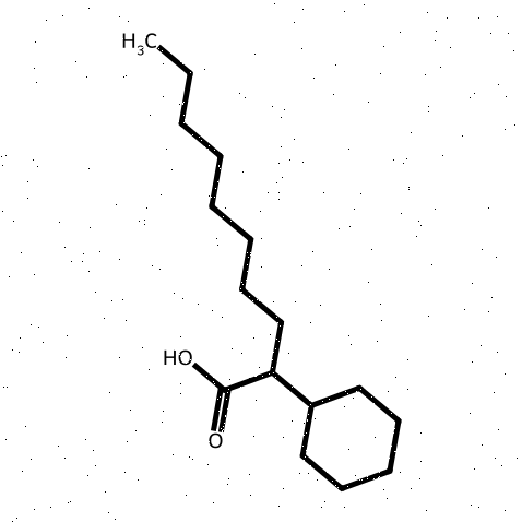 CCCCCCCCC(C(=O)O)C1CCCCC1